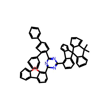 CC1(C)c2ccccc2C2(c3ccccc3-c3c(-c4nc(-c5ccc(-c6ccccc6)cc5-c5ccccc5)nc(-c5cccc6c5oc5ccccc56)n4)cccc32)c2ccccc21